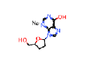 OC[C@@H]1CC[C@H](n2cnc3c(O)ncnc32)O1.[Na]